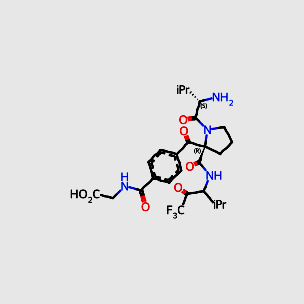 CC(C)C(NC(=O)[C@]1(C(=O)c2ccc(C(=O)NCC(=O)O)cc2)CCCN1C(=O)[C@@H](N)C(C)C)C(=O)C(F)(F)F